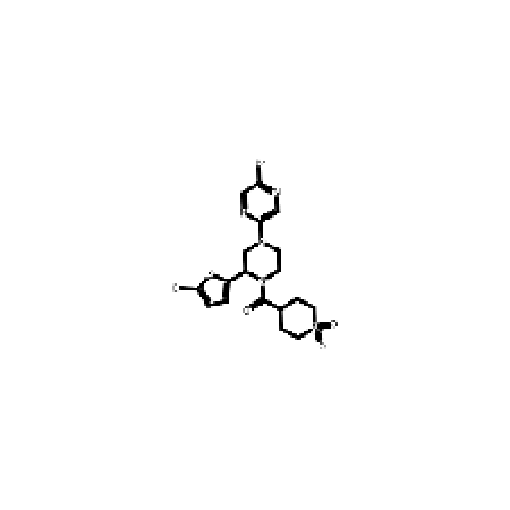 O=C(C1CCS(=O)(=O)CC1)N1CCN(c2cnc(Br)cn2)CC1c1ccc(Cl)s1